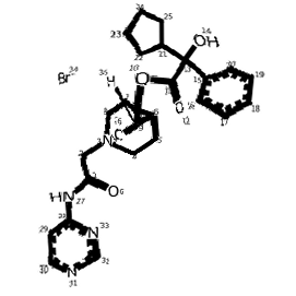 O=C(C[N+]12CCC(CC1)[C@@H](OC(=O)C(O)(c1ccccc1)C1CCCC1)C2)Nc1ccncn1.[Br-]